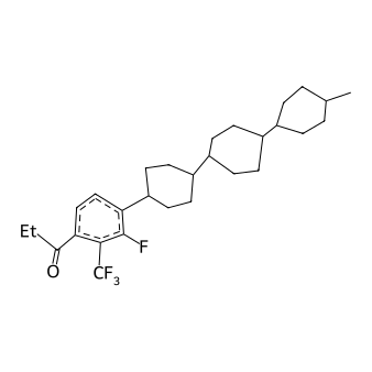 CCC(=O)c1ccc(C2CCC(C3CCC(C4CCC(C)CC4)CC3)CC2)c(F)c1C(F)(F)F